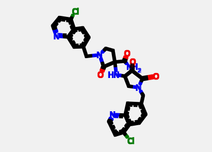 NC(=O)C1(NC2CN(Cc3ccc4c(Cl)ccnc4c3)C(=O)C2=O)CCN(Cc2ccc3c(Cl)ccnc3c2)C1=O